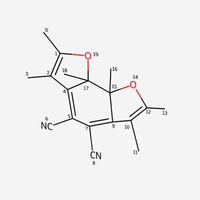 CC1=C(C)C2=C(C#N)C(C#N)=C3C(C)=C(C)OC3(C)C2(C)O1